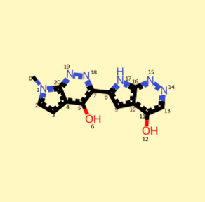 Cn1ccc2c(O)c(-c3cc4c(O)cnnc4[nH]3)nnc21